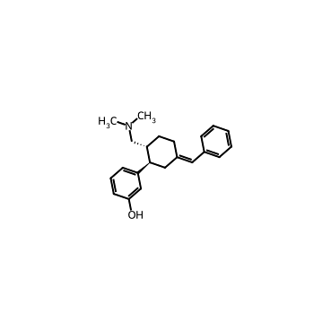 CN(C)C[C@@H]1CC/C(=C\c2ccccc2)C[C@H]1c1cccc(O)c1